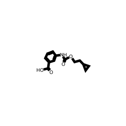 O=C(Nc1cccc(C(=O)O)c1)OCCC1CC1